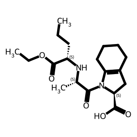 CCC[C@H](N[C@@H](C)C(=O)N1C2=C(CCCC2)C[C@H]1C(=O)O)C(=O)OCC